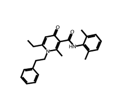 CCc1cc(=O)c(C(=O)Nc2c(C)cccc2C)c(C)n1CCc1ccccc1